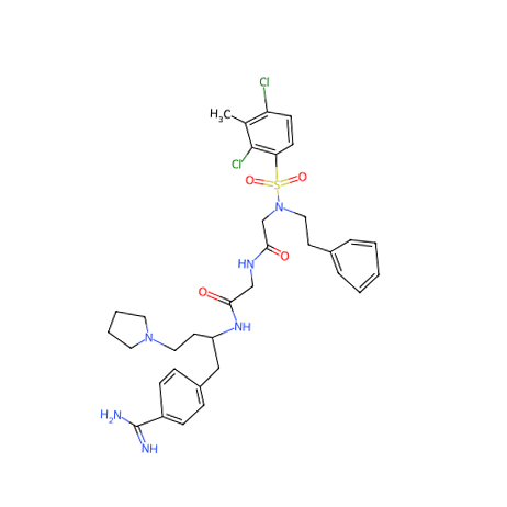 Cc1c(Cl)ccc(S(=O)(=O)N(CCc2ccccc2)CC(=O)NCC(=O)NC(CCN2CCCC2)Cc2ccc(C(=N)N)cc2)c1Cl